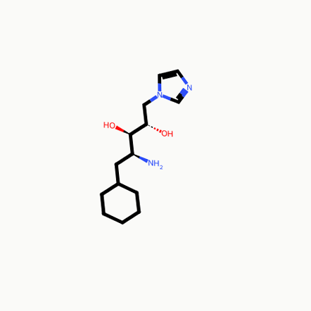 N[C@@H](CC1CCCCC1)[C@@H](O)[C@@H](O)Cn1ccnc1